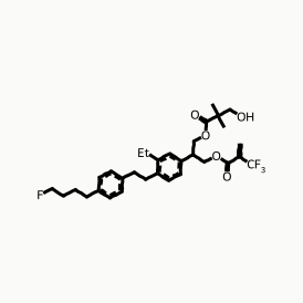 C=C(C(=O)OCC(COC(=O)C(C)(C)CO)c1ccc(CCc2ccc(CCCCF)cc2)c(CC)c1)C(F)(F)F